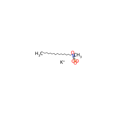 CCCCCCCCCCCCCCCCCC(=O)N(C)CCS(=O)(=O)[O-].[K+]